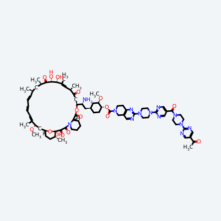 CO[C@H]1C[C@@H]2CC[C@@H](C)[C@@](O)(O2)C(=O)C(=O)N2CCCC[C@H]2C(=O)O[C@H]([C@H](N)C[C@@H]2CC[C@@H](OC(=O)N3CCc4nc(N5CCN(c6ncc(C(=O)N7CCN(c8ncc(C(C)=O)cn8)CC7)cn6)CC5)ncc4C3)[C@H](OC)C2)CC(=O)[C@H](C)/C=C(\C)[C@@H](O)[C@@H](O)C(=O)[C@H](C)C[C@H](C)/C=C/C=C/C=C/1C